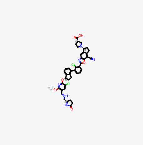 COc1nc(O[C@H]2CCc3c(-c4cccc(-c5nc6cc7c(c(C#N)c6o5)CC[C@H]7N5CC[C@@H](C(=O)O)C5)c4Cl)cccc32)c(Cl)cc1CNC[C@H]1CCC(=O)N1